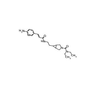 CCN(CC)C(=O)N1CC2C(CCNC(=O)/C=C/c3ccc(N)nc3)C2C1